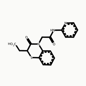 O=C(O)CC1Sc2ccccc2N(CC(=O)Nc2ccccn2)C1=O